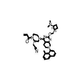 C=CC(=O)N1CCN(c2nc(OC[C@@H]3CC[C@@H]3N(C)C)nc3c2CCN(c2cccc4cccc(C)c24)C3)C[C@@H]1CC#N